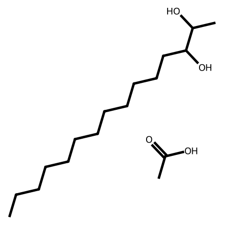 CC(=O)O.CCCCCCCCCCCCC(O)C(C)O